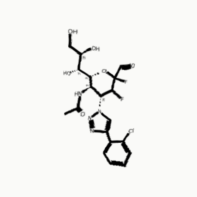 CC(=O)N[C@H]1[C@H]([C@H](O)[C@H](O)CO)OC(F)(C=O)C(F)[C@@H]1n1cc(-c2ccccc2Cl)nn1